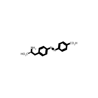 N[C@@H](Cc1ccc(N=Nc2ccc(C(=O)O)cc2)cc1)C(=O)O